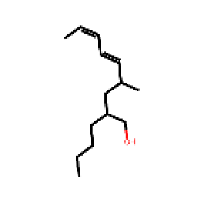 C/C=C\C=C\C(C)CC(CO)CCCC